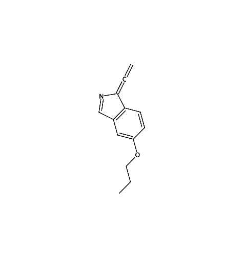 C=C=C1N=Cc2cc(OCCC)ccc21